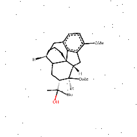 CC[C@@]1(OC)[C@H]2Cc3c(OC)ccc4c3[C@]23CCC[C@@H](C4)C3C[C@H]1C(C)(O)C(C)(C)C